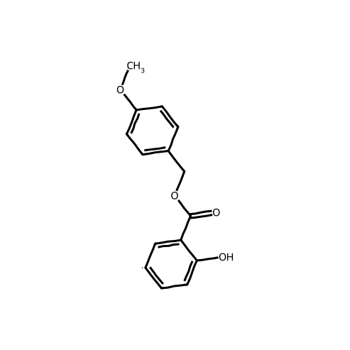 COc1ccc(COC(=O)c2c[c]ccc2O)cc1